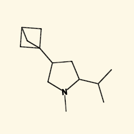 CC(C)C1CC(C23CC(C2)C3)CN1C